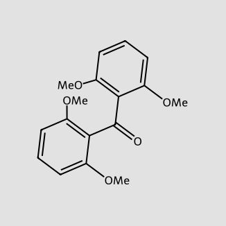 COc1cccc(OC)c1C(=O)c1c(OC)cccc1OC